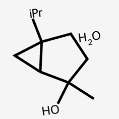 CC(C)C12CCC(C)(O)C1C2.O